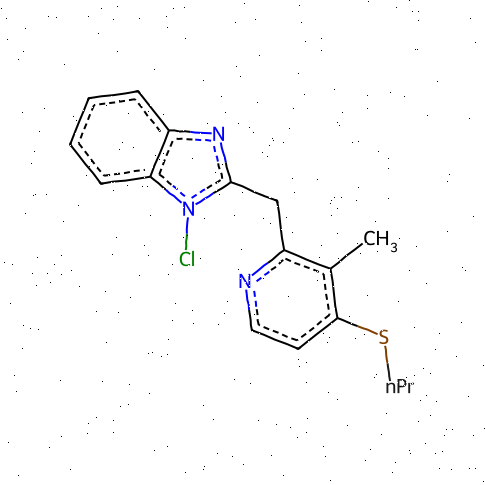 CCCSc1ccnc(Cc2nc3ccccc3n2Cl)c1C